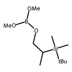 COB(OC)OCC(C)[Si](C)(C)C(C)(C)C